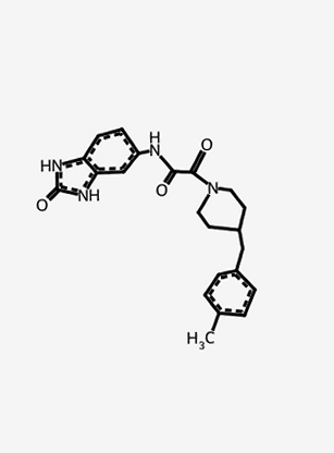 Cc1ccc(CC2CCN(C(=O)C(=O)Nc3ccc4[nH]c(=O)[nH]c4c3)CC2)cc1